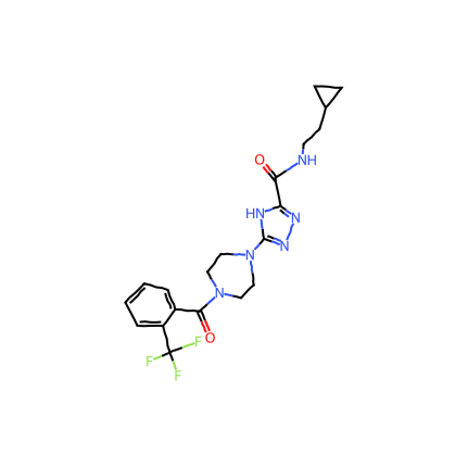 O=C(NCCC1CC1)c1nnc(N2CCN(C(=O)c3ccccc3C(F)(F)F)CC2)[nH]1